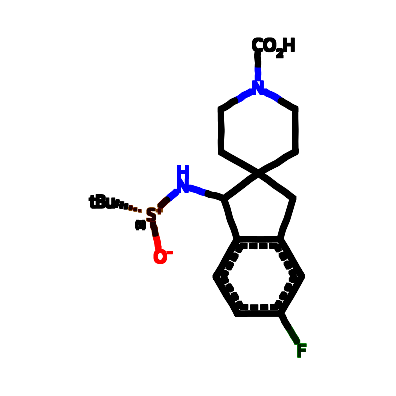 CC(C)(C)[S@@+]([O-])NC1c2ccc(F)cc2CC12CCN(C(=O)O)CC2